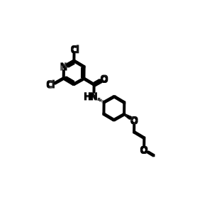 COCCO[C@H]1CC[C@H](NC(=O)c2cc(Cl)nc(Cl)c2)CC1